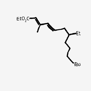 CCOC(=O)/C=C(C)/C=C/CC(CC)CCCC(C)CC